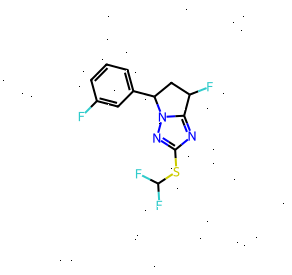 Fc1cccc(C2CC(F)c3nc(SC(F)F)nn32)c1